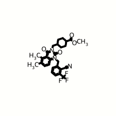 COC(=O)C1CCC(Cn2c(=O)c3c(C)c(C)ccc3n(Cc3cccc(C(F)(F)F)c3C#N)c2=O)CC1